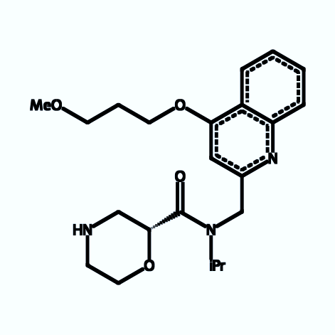 COCCCOc1cc(CN(C(=O)[C@H]2CNCCO2)C(C)C)nc2ccccc12